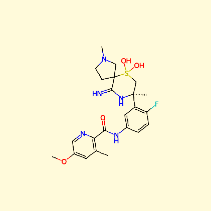 COc1cnc(C(=O)Nc2ccc(F)c([C@]3(C)CS(O)(O)C4(CCN(C)C4)C(=N)N3)c2)c(C)c1